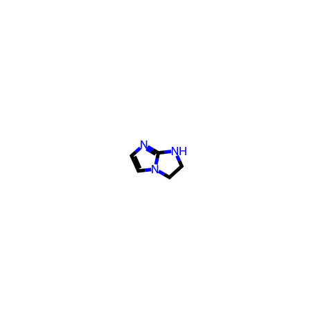 c1cn2c(n1)NCC2